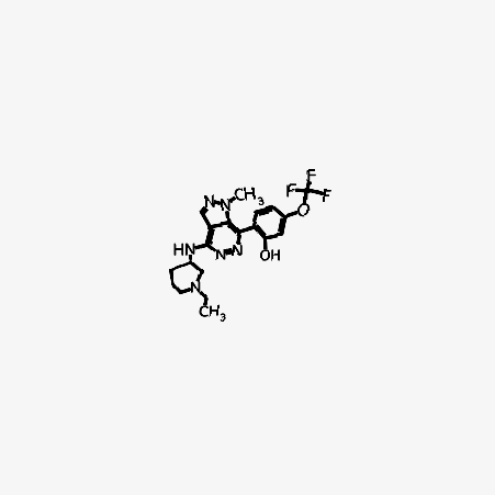 CCN1CCC[C@@H](Nc2nnc(-c3ccc(OC(F)(F)F)cc3O)c3c2cnn3C)C1